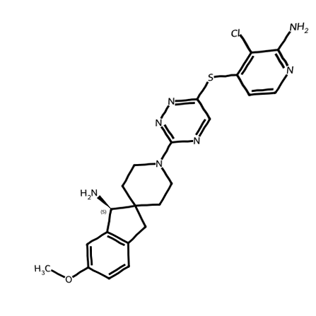 COc1ccc2c(c1)[C@@H](N)C1(CCN(c3ncc(Sc4ccnc(N)c4Cl)nn3)CC1)C2